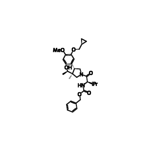 COc1ccc([C@@H]2CN(C(=O)[C@H](NC(=O)OCc3ccccc3)C(C)C)C[C@@]2(C)[C@@H](C)O)cc1OCC1CC1